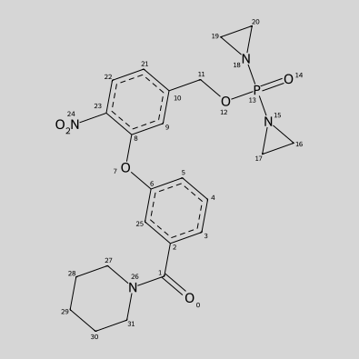 O=C(c1cccc(Oc2cc(COP(=O)(N3CC3)N3CC3)ccc2[N+](=O)[O-])c1)N1CCCCC1